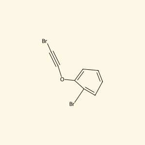 BrC#COc1ccccc1Br